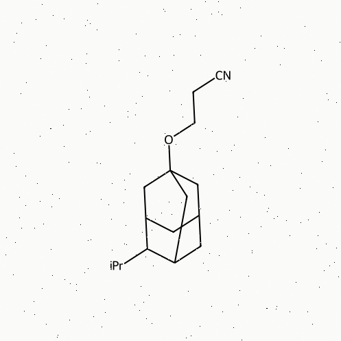 CC(C)C1C2CC3CC1CC(OCCC#N)(C3)C2